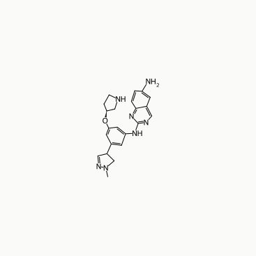 CN1CC(c2cc(Nc3ncc4cc(N)ccc4n3)cc(O[C@H]3CCNC3)c2)C=N1